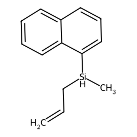 C=CC[SiH](C)c1cccc2ccccc12